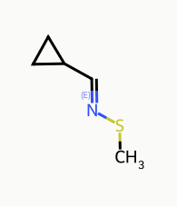 CS/N=C/C1CC1